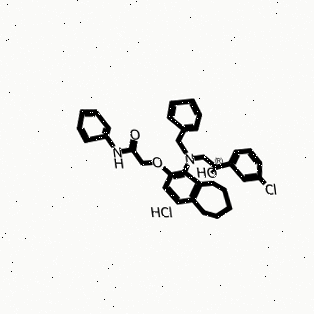 Cl.O=C(COc1ccc2c(c1N(Cc1ccccc1)C[C@H](O)c1cccc(Cl)c1)CCCCC2)Nc1ccccc1